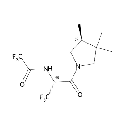 C[C@@H]1CN(C(=O)[C@@H](NC(=O)C(F)(F)F)C(F)(F)F)CC1(C)C